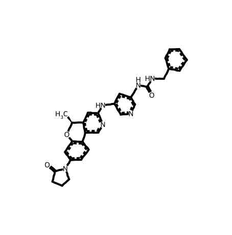 C[C@@H]1Oc2cc(N3CCCC3=O)ccc2-c2cnc(Nc3cncc(NC(=O)NCc4ccccc4)c3)cc21